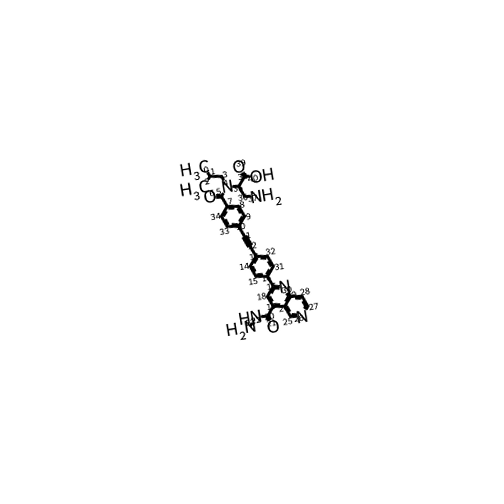 CC(C)CN(C(=O)c1ccc(C#Cc2ccc(-c3cc(C(=O)NN)c4cnccc4n3)cc2)cc1)C(CN)C(=O)O